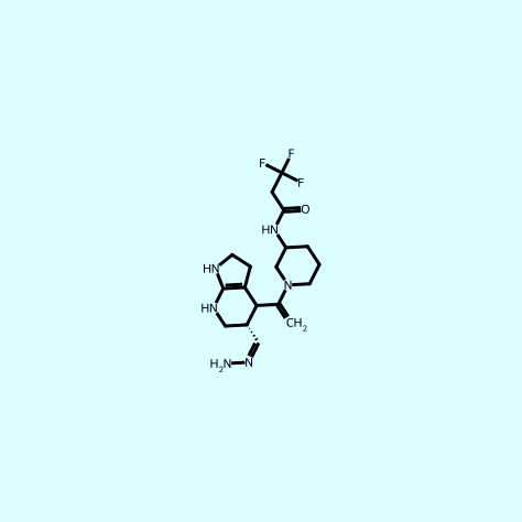 C=C(C1C2=C(NCC2)NC[C@H]1/C=N\N)N1CCCC(NC(=O)CC(F)(F)F)C1